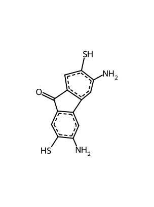 Nc1cc2c(cc1S)C(=O)c1cc(S)c(N)cc1-2